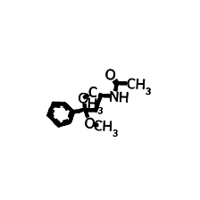 COC(CCNC(C)=O)(OC)c1ccccc1